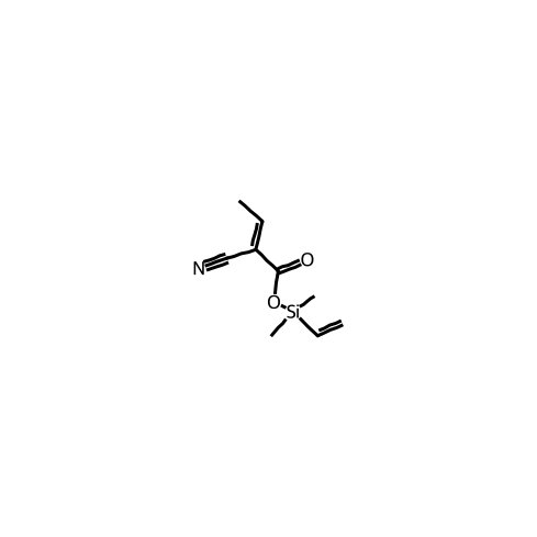 C=C[Si](C)(C)OC(=O)C(C#N)=CC